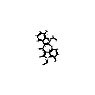 C=C(c1c(C)n(CC)c2c(C)cccc12)c1c(C)n(CC)c2c(C)cccc12